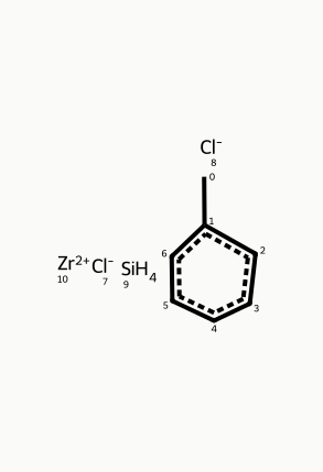 Cc1ccccc1.[Cl-].[Cl-].[SiH4].[Zr+2]